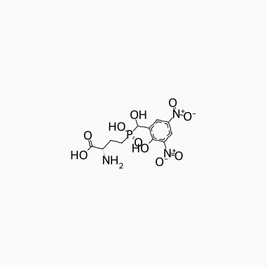 N[C@@H](CCP(=O)(O)C(O)c1cc([N+](=O)[O-])cc([N+](=O)[O-])c1O)C(=O)O